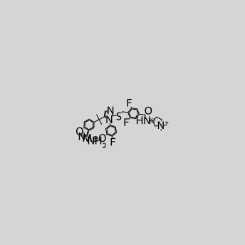 COc1cc(-n2c(C(C)(C)c3ccc4onc(N)c4c3)cnc2SCc2c(F)cc(C(=O)N[C@H]3CC[N+](C)(C)C3)cc2F)ccc1F